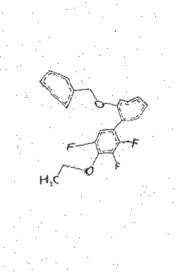 CCOc1c(F)cc(-c2ccccc2OCc2ccccc2)c(F)c1F